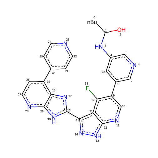 CCCCC(O)Nc1cncc(-c2cnc3[nH]nc(-c4nc5c(-c6ccncc6)ccnc5[nH]4)c3c2F)c1